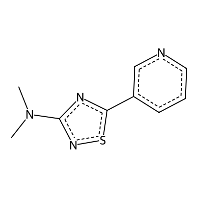 CN(C)c1nsc(-c2cccnc2)n1